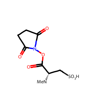 CN[C@@H](CS(=O)(=O)O)C(=O)ON1C(=O)CCC1=O